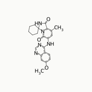 COc1ccc2c(Nc3cc(C)c4n(c3=O)C3(CCCCC3)NC4=O)ncnc2c1